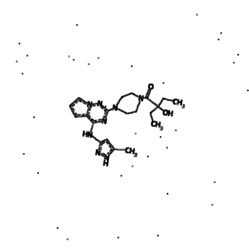 CCC(O)(CC)C(=O)N1CCN(c2nc(Nc3cc(C)[nH]n3)c3cccn3n2)CC1